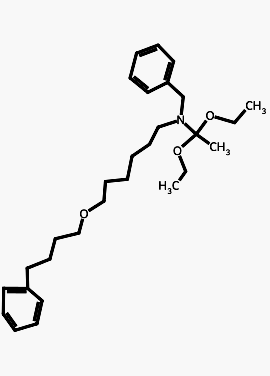 CCOC(C)(OCC)N(CCCCCCOCCCCc1ccccc1)Cc1ccccc1